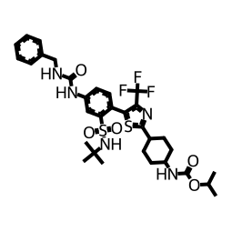 CC(C)OC(=O)NC1CCC(c2nc(C(F)(F)F)c(-c3ccc(NC(=O)NCc4ccccc4)cc3S(=O)(=O)NC(C)(C)C)s2)CC1